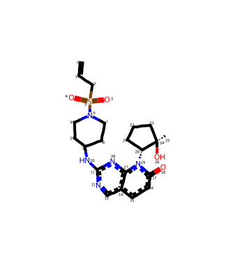 C=CCS(=O)(=O)N1CCC(Nc2ncc3ccc(=O)n([C@@H]4CCC[C@@]4(C)O)c3n2)CC1